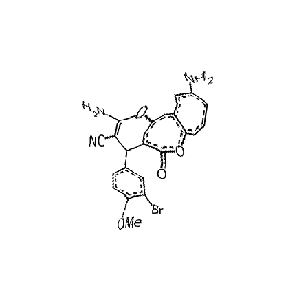 COc1ccc(C2C(C#N)=C(N)Oc3c2c(=O)oc2ccc(N)cc32)cc1Br